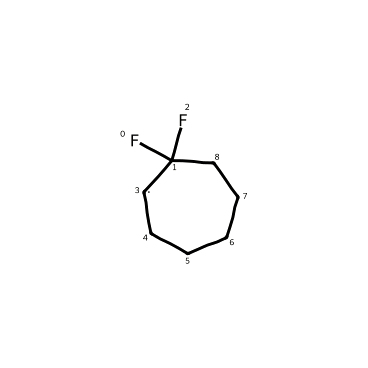 FC1(F)[CH]CCCCC1